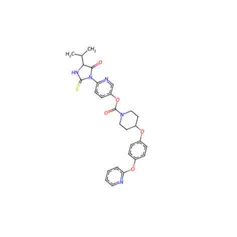 CC(C)C1NC(=S)N(c2ccc(OC(=O)N3CCC(Oc4ccc(Oc5ccccn5)cc4)CC3)cn2)C1=O